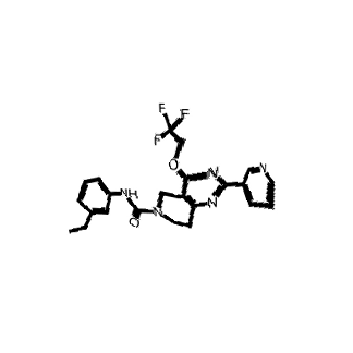 CCc1cccc(NC(=O)N2CCc3nc(-c4cccnc4)nc(OCC(F)(F)F)c3C2)c1